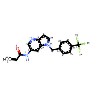 C=CC(=O)Nc1cnc2ccn(Cc3ccc(C(F)(F)F)cc3)c2c1